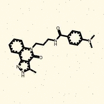 Cc1[nH]nc2c1c(=O)n(CCCNC(=O)c1ccc(N(C)C)cc1)c1ccccc21